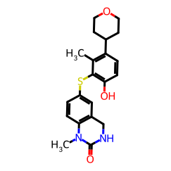 Cc1c(C2CCOCC2)ccc(O)c1Sc1ccc2c(c1)CNC(=O)N2C